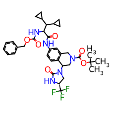 CC(C)(C)OC(=O)N1Cc2cc(NC(=O)[C@@H](NC(=O)OCc3ccccc3)C(C3CC3)C3CC3)ccc2C(N2C[C@@H](C(F)(F)F)NC2=O)C1